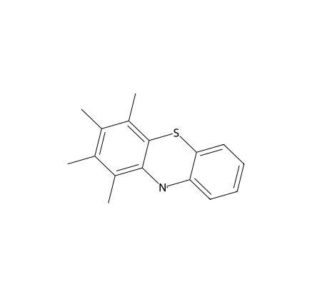 Cc1c(C)c(C)c2c(c1C)[N]c1ccccc1S2